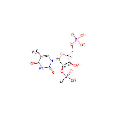 CCP(=O)(O)O[C@@H]1[C@H](O)[C@@H](COP(=O)(O)O)O[C@H]1n1cc(C)c(=O)[nH]c1=O